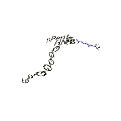 CCCCC[C@@H](CC(=O)/C=C(C)/C=C/C=C(C)/C=C/C1=C(C)CCCC1(C)C)C(=O)NCCOCCOCCOCCOCCOCCOCCOCC